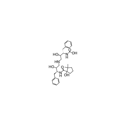 CC1(C)CCCC1(O)C(=O)N[C@@H](Cc1ccccc1)C(O)CNC[C@@H](O)[C@H](Cc1ccccc1)NC(=O)O